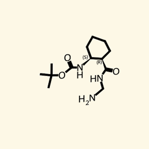 CC(C)(C)OC(=O)N[C@H]1CCCC[C@H]1C(=O)NCN